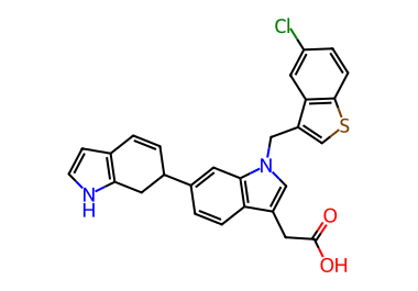 O=C(O)Cc1cn(Cc2csc3ccc(Cl)cc23)c2cc(C3C=Cc4cc[nH]c4C3)ccc12